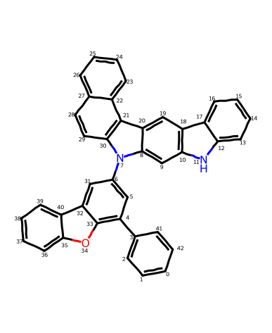 c1ccc(-c2cc(-n3c4cc5[nH]c6ccccc6c5cc4c4c5ccccc5ccc43)cc3c2oc2ccccc23)cc1